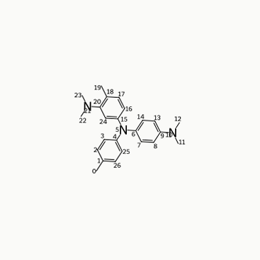 Cc1ccc(N(c2ccc(N(C)C)cc2)c2ccc(C)c(N(C)C)c2)cc1